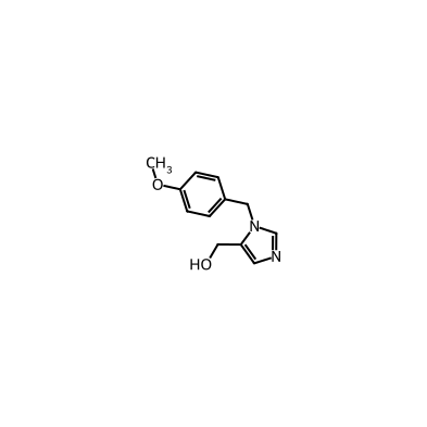 COc1ccc(Cn2cncc2CO)cc1